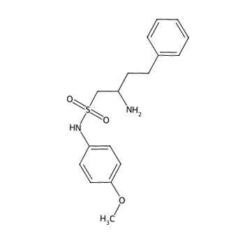 COc1ccc(NS(=O)(=O)CC(N)CCc2ccccc2)cc1